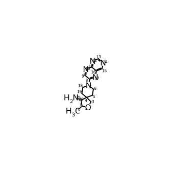 C[C@@H]1OCC2(CCN(c3cnc4ncncc4n3)CC2)[C@@H]1N